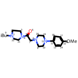 CCC(C)N1CCN(C(=O)CN2CCN(c3ccc(OC)cc3)CC2)CC1